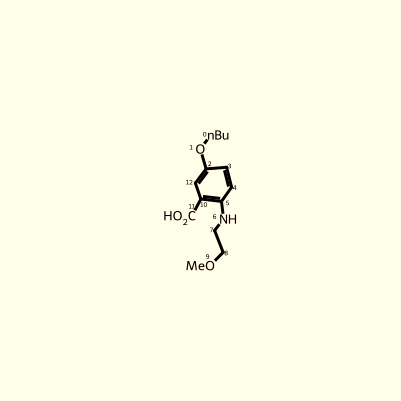 CCCCOc1ccc(NCCOC)c(C(=O)O)c1